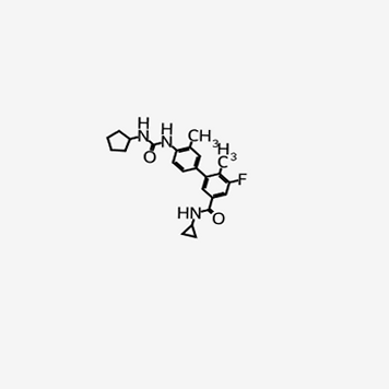 Cc1cc(-c2cc(C(=O)NC3CC3)cc(F)c2C)ccc1NC(=O)NC1CCCC1